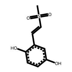 CS(=O)(=O)/C=C/c1cc(O)ccc1O